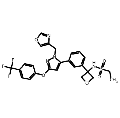 CCS(=O)(=O)NC1(c2cccc(-c3cc(Oc4ccc(C(F)(F)F)cc4)nn3Cc3cocn3)c2)COC1